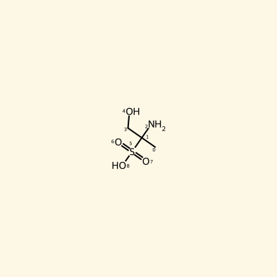 CC(N)(CO)S(=O)(=O)O